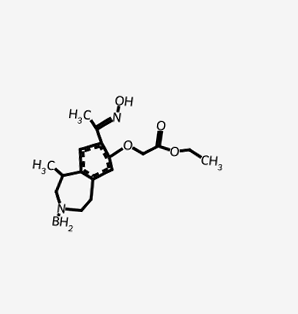 BN1CCc2cc(OCC(=O)OCC)c(/C(C)=N/O)cc2C(C)C1